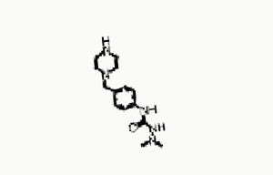 CN(C)NC(=O)Nc1ccc(CN2CCNCC2)cc1